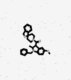 COc1ccc2c(c1)C(C(=O)N1CCC3(CC1)OCc1ccccc13)C(C)N2Cc1ccccc1